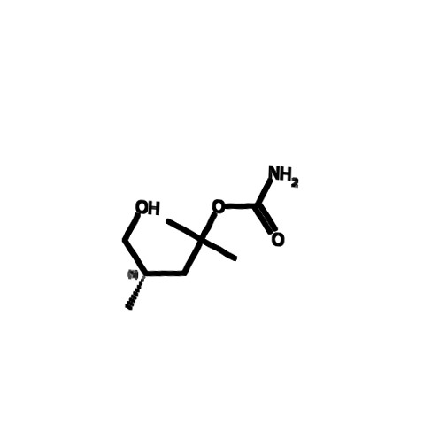 C[C@H](CO)CC(C)(C)OC(N)=O